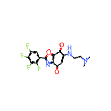 CN(C)CCNC1=CC(=O)c2nc(-c3cc(F)c(F)c(F)c3F)oc2C1=O